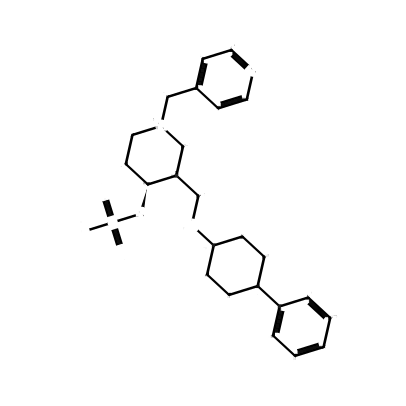 CS(=O)(=O)N[C@H]1CCN(Cc2ccncc2)CC1COC1CCC(c2ccccc2)CC1